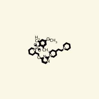 COc1cc(C)c(S(=O)(=O)N2CCCCC2COc2ccnc(N3CCC(CCN4CCCCC4)CC3)n2)c(C)c1